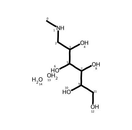 CNCC(O)C(O)C(O)C(O)CO.O.O